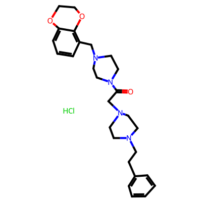 Cl.O=C(CN1CCN(CCc2ccccc2)CC1)N1CCN(Cc2cccc3c2OCCO3)CC1